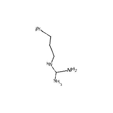 CC(C)CCCNC(N)N